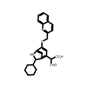 O=CC(C(=O)O)c1cc(OCc2ccc3ccccc3n2)c2cc1C(C1CCCCC1)N2